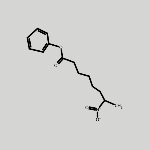 CC(CCCCCC(=O)Oc1ccccc1)[N+](=O)[O-]